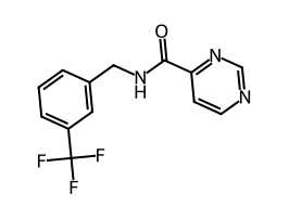 O=C(NCc1cccc(C(F)(F)F)c1)c1ccncn1